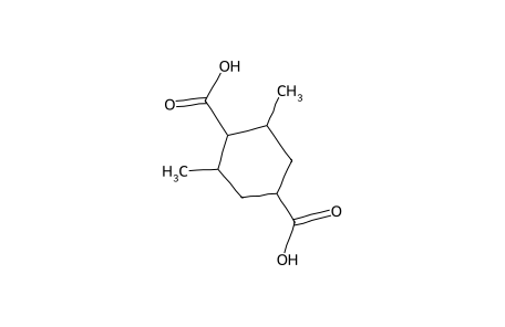 CC1CC(C(=O)O)CC(C)C1C(=O)O